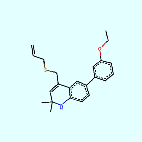 C=CCSCC1=CC(C)(C)Nc2ccc(-c3cccc(OCC)c3)cc21